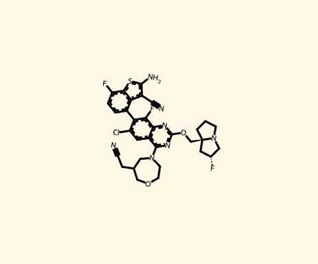 N#CCC1COCCN(c2nc(OC[C@@]34CCCN3C[C@H](F)C4)nc3c(F)c(-c4ccc(F)c5sc(N)c(C#N)c45)c(Cl)cc23)C1